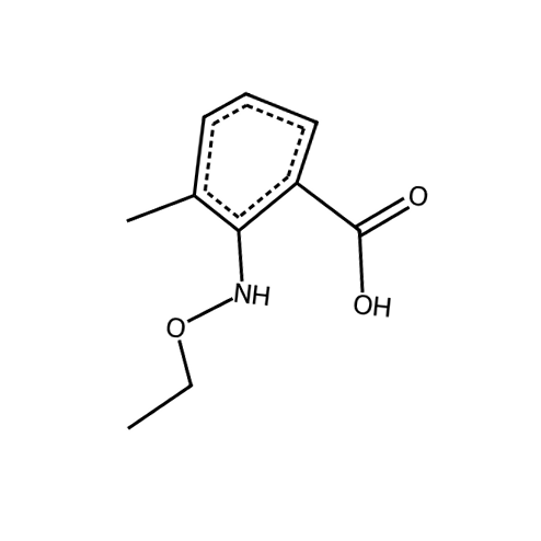 CCONc1c(C)cccc1C(=O)O